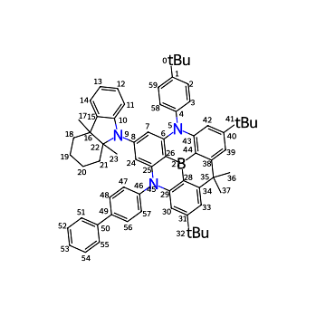 CC(C)(C)c1ccc(N2c3cc(N4c5ccccc5C5(C)CCCCC45C)cc4c3B3c5c(cc(C(C)(C)C)cc5C(C)(C)c5cc(C(C)(C)C)cc2c53)N4c2ccc(-c3ccccc3)cc2)cc1